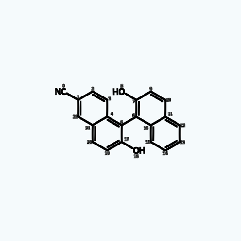 N#Cc1ccc2c(-c3c(O)ccc4ccccc34)c(O)ccc2c1